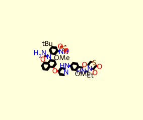 CCC(NC(=O)c1ccc(Nc2cc(Oc3ccc(N(C(N)=O)c4cc(C(C)(C)C)cc(NS(C)(=O)=O)c4OC)c4ccccc34)ccn2)cc1OC)N1CCSC(=O)C1=O